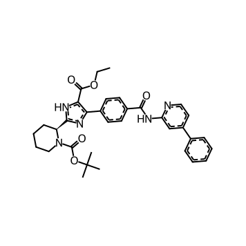 CCOC(=O)c1[nH]c([C@@H]2CCCCN2C(=O)OC(C)(C)C)nc1-c1ccc(C(=O)Nc2cc(-c3ccccc3)ccn2)cc1